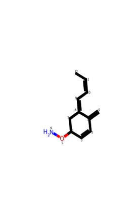 C=C1C=CC(ON)C/C1=C/C=C\C